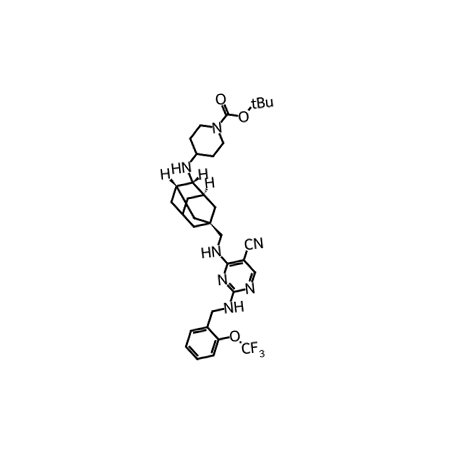 CC(C)(C)OC(=O)N1CCC(N[C@@H]2[C@@H]3CC4C[C@H]2C[C@@](CNc2nc(NCc5ccccc5OC(F)(F)F)ncc2C#N)(C4)C3)CC1